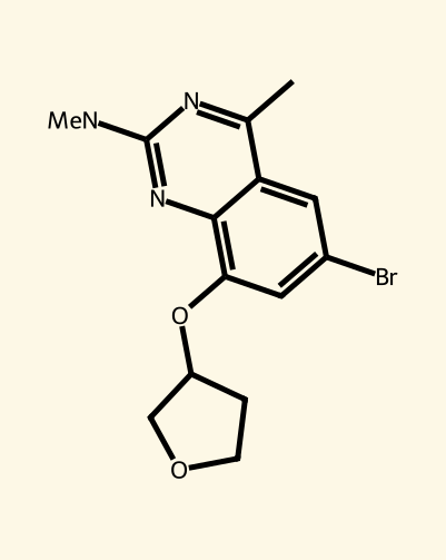 CNc1nc(C)c2cc(Br)cc(OC3CCOC3)c2n1